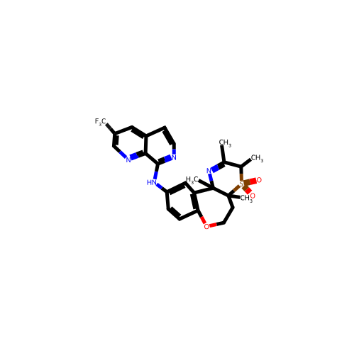 CC1=NC2(C)c3cc(Nc4nccc5cc(C(F)(F)F)cnc45)ccc3OCCC2(C)S(=O)(=O)C1C